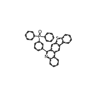 O=P(c1ccccc1)(c1ccccc1)c1cccc(-c2nc3ccccc3c3cc4c(cc23)sc2ccccc24)c1